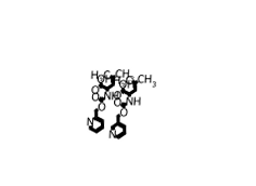 CC(C)CC(NC(=O)OCc1ccccn1)C(=O)O.CC(C)CC(NC(=O)OCc1cccnc1)C(=O)O